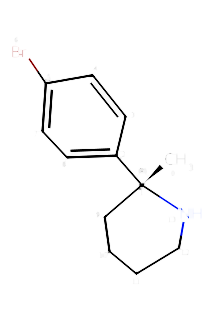 C[C@]1(c2ccc(Br)cc2)CCCCN1